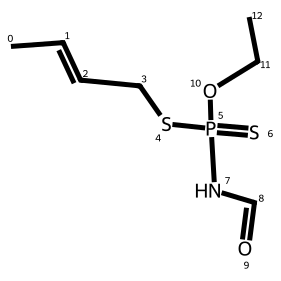 CC=CCSP(=S)(NC=O)OCC